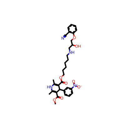 COC(=O)C1=C(C)NC(C)=C(C(=O)OCCCCCCNCC(O)COc2ccccc2C#N)C1c1cccc([N+](=O)[O-])c1